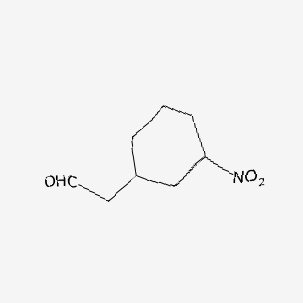 O=CCC1CCCC([N+](=O)[O-])C1